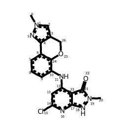 Cn1cc2c(n1)-c1cccc(Nc3cc(Cl)nc4[nH]n(C)c(=O)c34)c1OC2